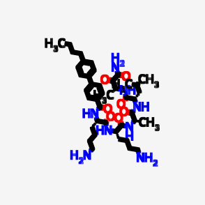 CCCCc1ccc(-c2ccc(C(=O)N[C@@H](CCCCN)C(=O)N[C@@H](CCCCN)C(=O)N[C@@H](C)C(=O)N[C@@H](CC(C)C)C(=O)N[C@H](C)C(=O)C(N)=O)cc2)cc1